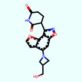 O=C1CCC(c2noc3cc(N4CC(CO)C4)c4ccoc4c23)C(=O)N1